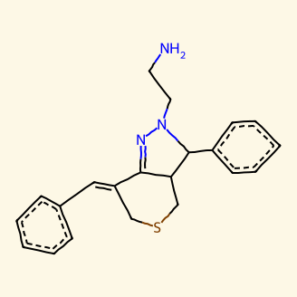 NCCN1N=C2C(=Cc3ccccc3)CSCC2C1c1ccccc1